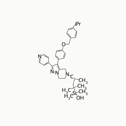 CC(CN1CCn2nc(-c3ccncc3)c(-c3ccc(OCc4ccc(C(C)C)cc4)cc3)c2C1)CC(C)(C)[Si](C)(C)O